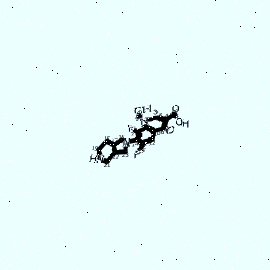 CCn1cc(C(=O)O)c(=O)c2cc(F)c(N3CC4CCNCC4C3)c(F)c21